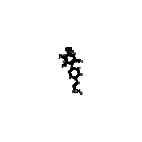 CCC[C@H]1CC[C@H](c2c(F)cc(C)c(F)c2F)CC1